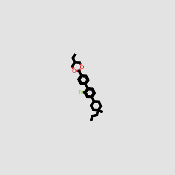 CCCC1(C)CCC(c2ccc(-c3ccc(C4OCC(CC)CO4)cc3)c(F)c2)CC1